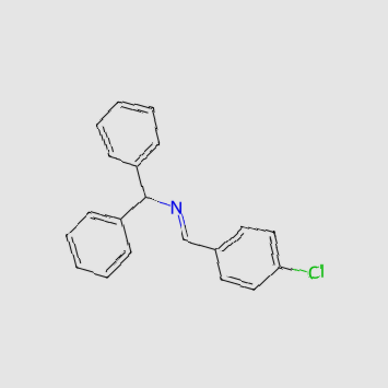 Clc1ccc(/C=N/C(c2ccccc2)c2ccccc2)cc1